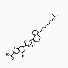 C/C(=C\c1c(F)cc(C(=O)Nc2nc3c(s2)CCc2c(CCCOCCOC(C)C)cccc2-3)cc1F)C(=O)O